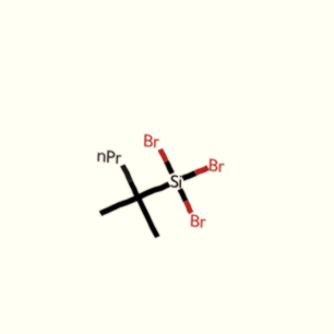 CCCC(C)(C)[Si](Br)(Br)Br